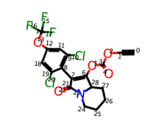 C#COC(=O)OC1=C(c2c(Cl)cc(OC(F)(F)F)cc2Cl)C(=O)N2CCCCC12